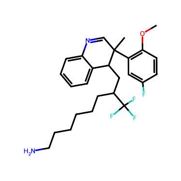 COc1ccc(F)cc1C1(C)C=Nc2ccccc2C1CC(CCCCCCN)C(F)(F)F